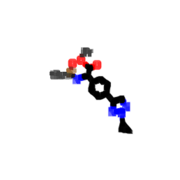 CC(C)OC(=O)C(=N[S@@+]([O-])C(C)(C)C)c1ccc(-c2cnn(C3CC3)n2)cc1